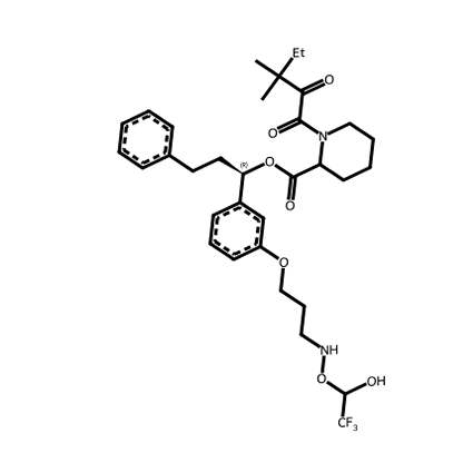 CCC(C)(C)C(=O)C(=O)N1CCCCC1C(=O)O[C@H](CCc1ccccc1)c1cccc(OCCCNOC(O)C(F)(F)F)c1